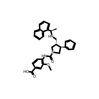 COc1cc(C(=O)O)ccc1NC(=O)N1C[C@H](CN[C@H](C)c2cccc3ccccc23)[C@@H](c2ccccc2)C1